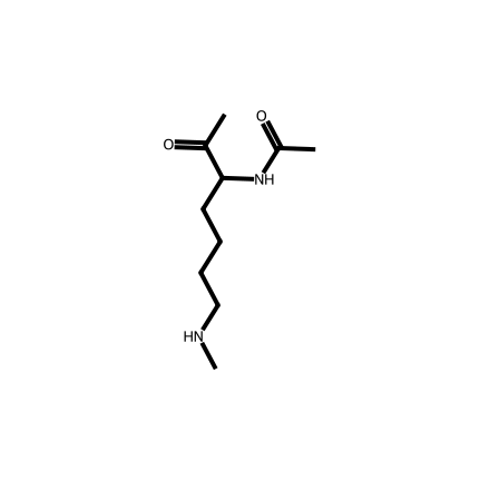 CNCCCCC(NC(C)=O)C(C)=O